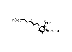 CCCCCCCCCCCCCCCn1cc[n+](CCCCCCC)c1CCC